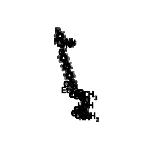 CC[C@@H]([C@H](C)OC(=O)OC(C)OC(=O)CNC(=O)CN(C)C(=N)NP(=O)(O)O)n1ncn(-c2ccc(N3CCN(c4ccc(OC[C@@H]5CO[C@@](Cn6cncn6)(c6ccc(F)cc6F)C5)cc4)CC3)cc2)c1=O